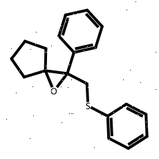 c1ccc(SCC2(c3ccccc3)OC23CCCC3)cc1